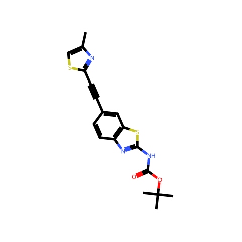 Cc1csc(C#Cc2ccc3nc(NC(=O)OC(C)(C)C)sc3c2)n1